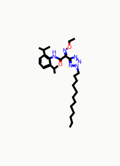 CCCCCCCCCCCCn1nnc(C(=NOCC)C(=O)Nc2c(C(C)C)cccc2C(C)C)n1